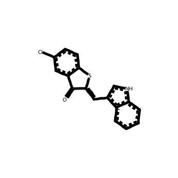 O=C1C(=Cc2c[nH]c3ccccc23)Sc2ccc(Cl)cc21